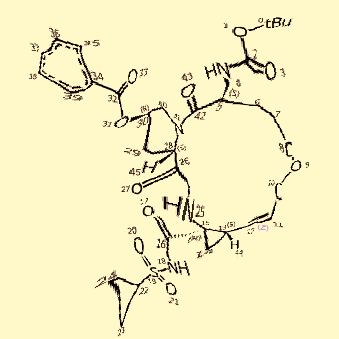 CC(C)(C)OC(=O)N[C@H]1CCCOC/C=C\[C@@H]2C[C@@]2(C(=O)NS(=O)(=O)C2CC2)NC(=O)[C@@H]2C[C@@H](OC(=O)c3ccccc3)CN2C1=O